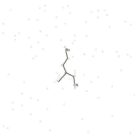 CCC(C)CCC(C)CC#N